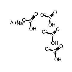 O=S([O-])O.O=S([O-])O.O=S([O-])O.O=S([O-])O.[Au+3].[Na+]